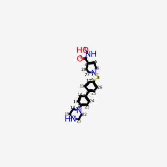 O=C(NO)C1=CCN(Sc2ccc(-c3ccc(N4CCNCC4)cc3)cc2)CC1